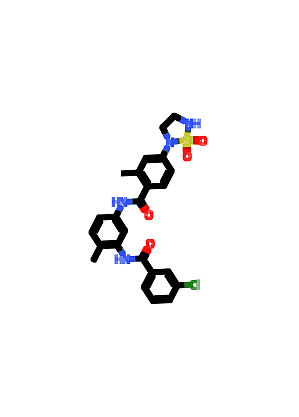 Cc1ccc(NC(=O)c2ccc(N3CCNS3(=O)=O)cc2C)cc1NC(=O)c1cccc(Cl)c1